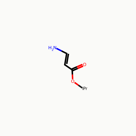 CC(C)OC(=O)C=CN